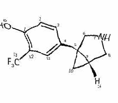 Oc1ccc([C@@]23CNC[C@@H]2C3)cc1C(F)(F)F